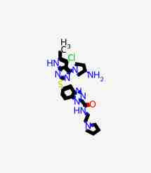 CCc1[nH]c2nc(Sc3ccc4nc(C(=O)NCCN5CCCC5)nnc4c3)nc(N3CC[C@H](N)C3)c2c1Cl